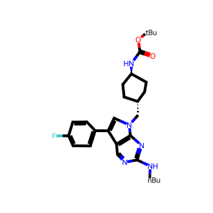 CCCCNc1ncc2c(-c3ccc(F)cc3)cn(C[C@H]3CC[C@H](NC(=O)OC(C)(C)C)CC3)c2n1